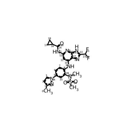 Cc1ccn(-c2ccc(Nc3cc(NC(=O)C4CC4)nc4[nH]c(C(F)F)nc34)c(N(C)S(C)(=O)=O)c2)n1